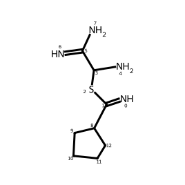 N=C(SC(N)C(=N)N)C1CCCC1